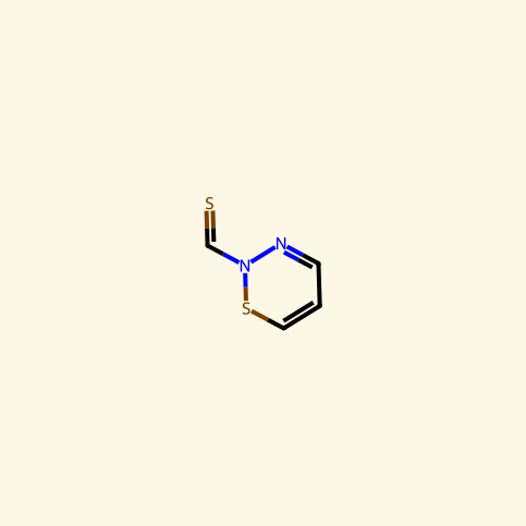 S=CN1N=CC=CS1